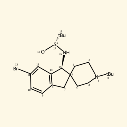 CC(C)(C)N1CCC2(CC1)Cc1ccc(Br)cc1[C@H]2N[S@+]([O-])C(C)(C)C